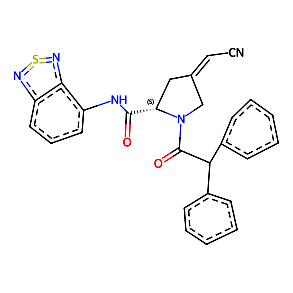 N#CC=C1C[C@@H](C(=O)Nc2cccc3nsnc23)N(C(=O)C(c2ccccc2)c2ccccc2)C1